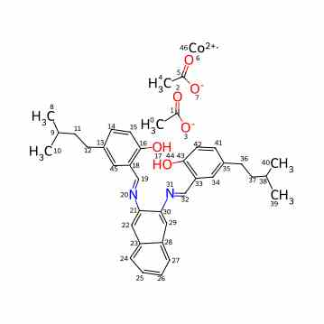 CC(=O)[O-].CC(=O)[O-].CC(C)CCc1ccc(O)c(C=Nc2cc3ccccc3cc2N=Cc2cc(CCC(C)C)ccc2O)c1.[Co+2]